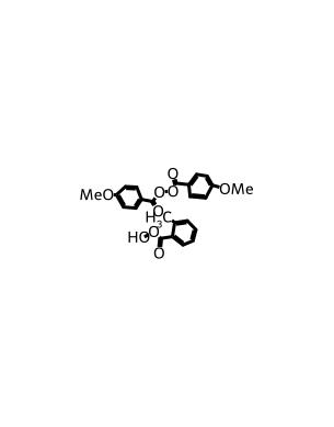 COc1ccc(C(=O)OOC(=O)c2ccc(OC)cc2)cc1.Cc1ccccc1C(=O)OO